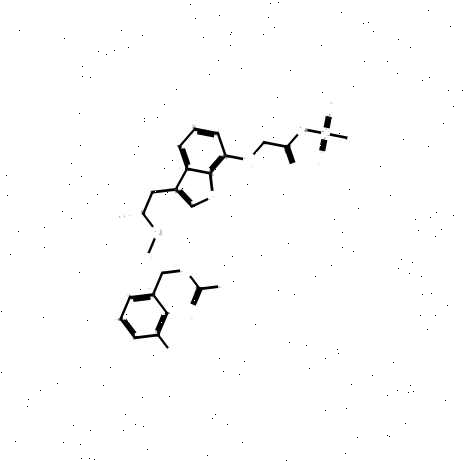 C[C@H](Cc1c[nH]c2c(OCC(=O)NS(C)(=O)=O)cccc12)NC[C@H](OC(=O)C(F)(F)F)c1cccc(Cl)c1